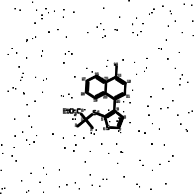 CCOC(=O)C(C)(C)Sc1sccc1-c1ccc(C)c2ccccc12